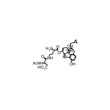 CC(=O)N[C@H](CC(=O)O)C(=O)NCCN(C)C(=O)OC1=CC[C@@]2(O)C3Cc4ccc(O)c5c4[C@@]2(CCN3CC2CC2)[C@H]1O5